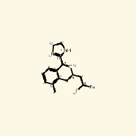 Cc1cccc2c1CC(CC(F)F)OC2C1=NCCN1